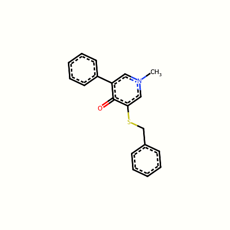 Cn1cc(SCc2ccccc2)c(=O)c(-c2ccccc2)c1